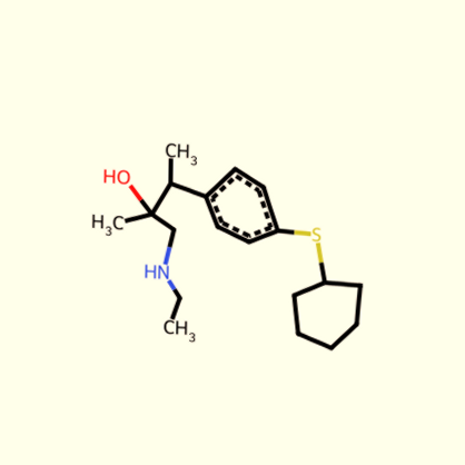 CCNCC(C)(O)C(C)c1ccc(SC2CCCCC2)cc1